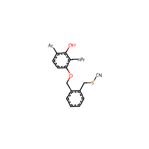 CCCc1c(OCc2ccccc2CSC#N)ccc(C(C)=O)c1O